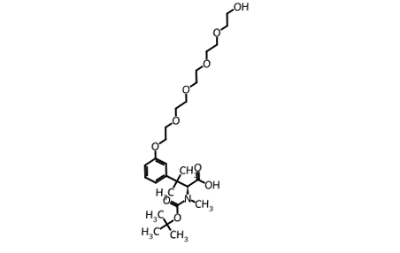 CN(C(=O)OC(C)(C)C)[C@H](C(=O)O)C(C)(C)c1cccc(OCCOCCOCCOCCOCCO)c1